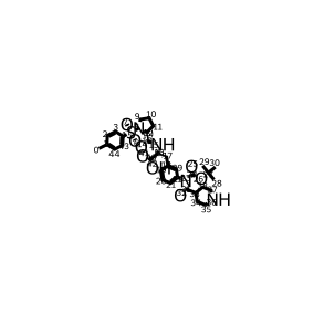 Cc1ccc(S(=O)(=O)N2CCC[C@H]2C(=O)N[C@@H](Cc2cccc(N(C(=O)OC(C)(C)C)C(=O)C3CCNCC3)c2)C(=O)O)cc1